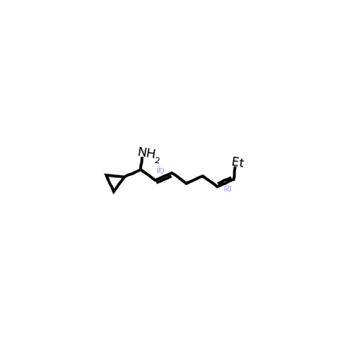 CC/C=C\CC/C=C/C(N)C1CC1